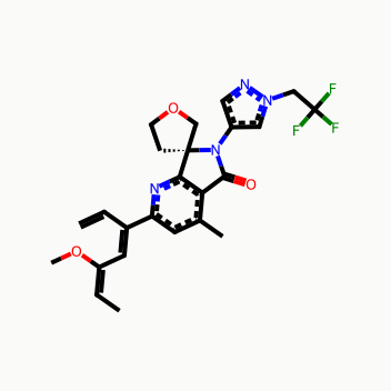 C=C/C(=C\C(=C/C)OC)c1cc(C)c2c(n1)[C@]1(CCOC1)N(c1cnn(CC(F)(F)F)c1)C2=O